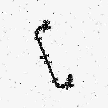 CO[C@H](C(=O)N1Cc2[nH]nc(NC(=O)c3ccc(CN4CCN(CCC(=O)NCCCOCCOCCOCCCNC(=O)CCCC(O)NCCCOCCOCCOCCCNC(=O)CCN5CCN(Cc6ccc(C(=O)Nc7n[nH]c8c7CN(C(=O)[C@@H](C)OC)C8)cc6)CC5)CC4)cc3)c2C1)c1ccccc1